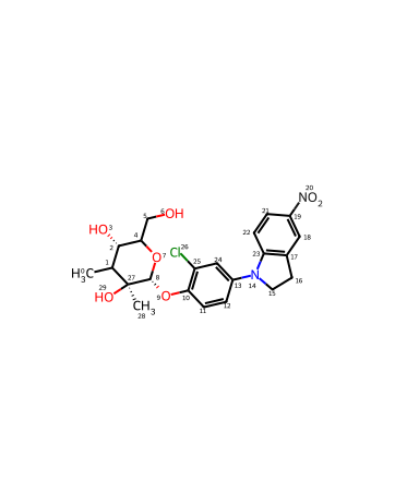 CC1[C@H](O)C(CO)O[C@H](Oc2ccc(N3CCc4cc([N+](=O)[O-])ccc43)cc2Cl)[C@@]1(C)O